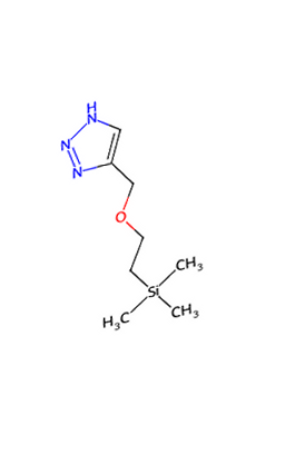 C[Si](C)(C)CCOCc1c[nH]nn1